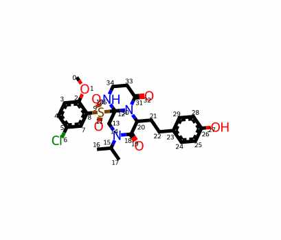 COc1ccc(Cl)cc1S(=O)(=O)C12CN(C(C)C)C(=O)C(CCc3ccc(O)cc3)N1C(=O)CCN2